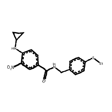 CCSc1ccc(CNC(=O)c2ccc(NC3CC3)c([N+](=O)[O-])c2)cc1